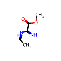 C/C=N\C(=N)C(=O)OC